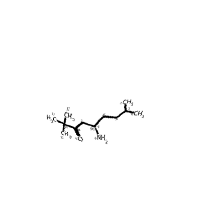 CC(C)CC[C@@H](N)CC(=O)C(C)(C)C